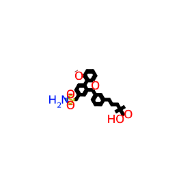 COc1cccc2c1-c1ccc(CS(N)(=O)=O)cc1C(c1cccc(CCCC(C)(C)C(=O)O)c1)O2